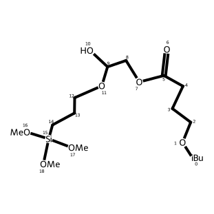 CCC(C)OCCCC(=O)OCC(O)OCCC[Si](OC)(OC)OC